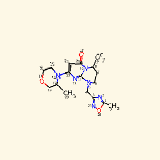 Cc1nc(CN2CCC(C(F)(F)F)n3c2nc(N2CCOCC2C)cc3=O)no1